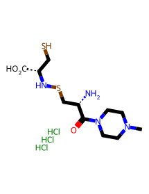 CN1CCN(C(=O)[C@@H](N)CSN[C@@H](CS)C(=O)O)CC1.Cl.Cl.Cl